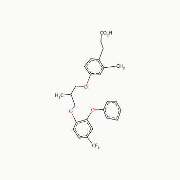 Cc1cc(OCC(C)COc2ccc(C(F)(F)F)cc2Oc2ccccc2)ccc1CCC(=O)O